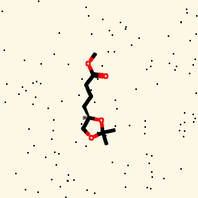 COC(=O)CCC[C@@H]1COC(C)(C)O1